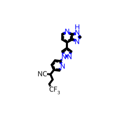 N#CC(CCC(F)(F)F)c1ccc(-n2cc(-c3ccnc4[nH]cnc34)cn2)nc1